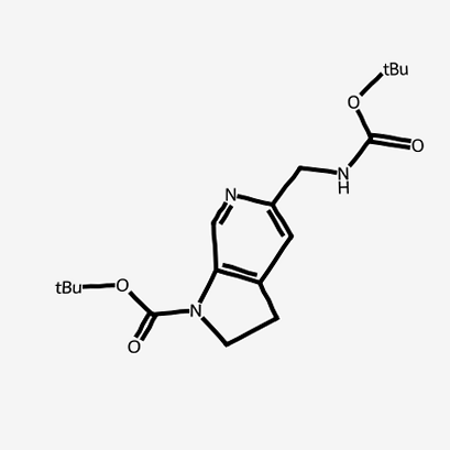 CC(C)(C)OC(=O)NCc1cc2c(cn1)N(C(=O)OC(C)(C)C)CC2